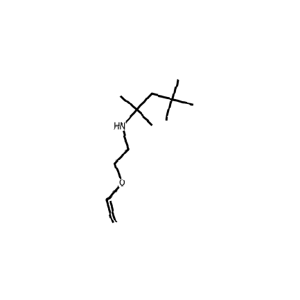 C=COCCNC(C)(C)CC(C)(C)C